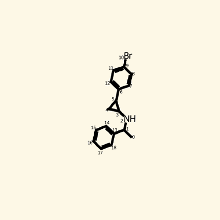 CC(NC1CC1c1ccc(Br)cc1)c1ccccc1